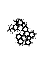 CC(C)(C)c1cc(N2c3ccc4ccccc4c3B3c4c(cc5oc6ccccc6c5c42)-c2cccc4c5ccccc5n3c24)cc(C(C)(C)C)c1